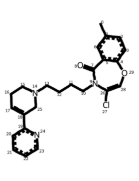 Cc1ccc2c(c1)C(=O)N(CCCCN1CCC=C(c3ccccn3)C1)C(Cl)=CO2